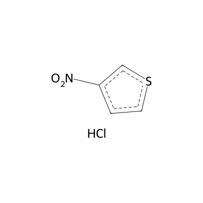 Cl.O=[N+]([O-])c1ccsc1